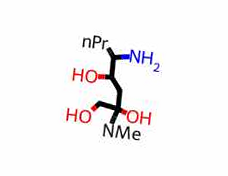 CCCC(N)C(O)CC(O)(CO)NC